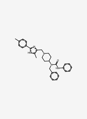 Cc1ccc(-c2nc(CN3CCC(N(Cc4ccccc4)C(=O)Nc4ccccc4)CC3)c(C)[nH]2)cc1